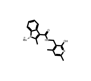 CC[C@@H](C)n1c(C)c(C(=O)NCc2c(C)cc(C)nc2O)c2ccccc21